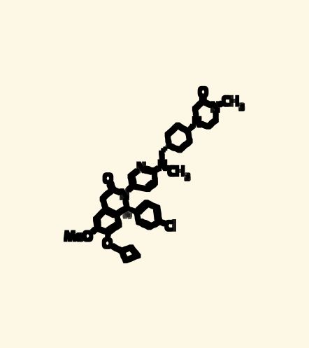 COc1cc2c(cc1OC1CCC1)[C@H](c1ccc(Cl)cc1)N(c1ccc(N(C)C[C@H]3CC[C@H](N4CCN(C)C(=O)C4)CC3)nc1)C(=O)C2